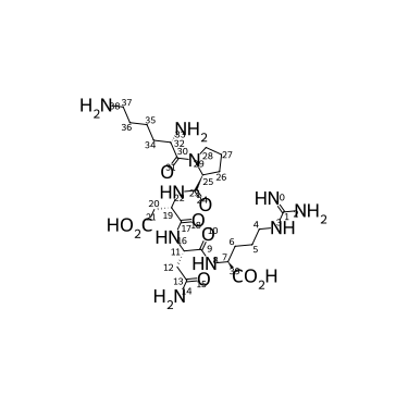 N=C(N)NCCC[C@H](NC(=O)[C@H](CC(N)=O)NC(=O)[C@H](CC(=O)O)NC(=O)[C@@H]1CCCN1C(=O)[C@@H](N)CCCCN)C(=O)O